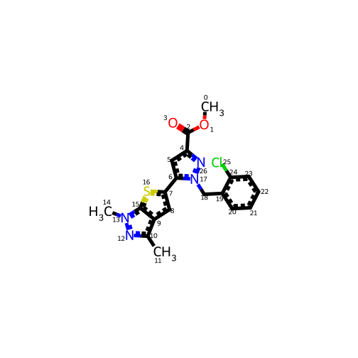 COC(=O)c1cc(-c2cc3c(C)nn(C)c3s2)n(Cc2ccccc2Cl)n1